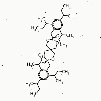 CCC(C)c1cc(C(C)CC)c(CP2(=O)OCC3(CO2)COP(=O)(Cc2c(C(C)CC)cc(C(C)CC)cc2C(C)CC)OC3)c(C(C)CC)c1